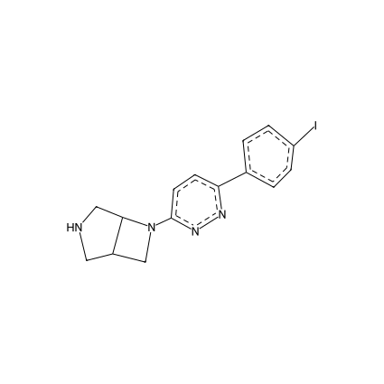 Ic1ccc(-c2ccc(N3CC4CNCC43)nn2)cc1